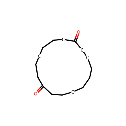 O=C1CCCCCCCCC(=O)CCCCCC1